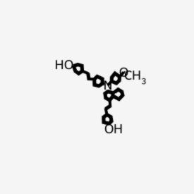 COc1ccc(N(c2ccc(C=Cc3ccc(O)cc3)cc2)c2ccc(C=Cc3ccc(O)cc3)c3ccccc23)cc1